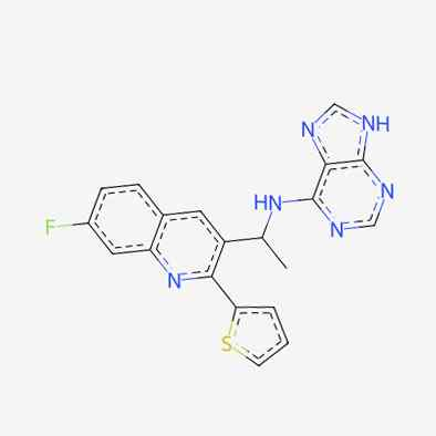 CC(Nc1ncnc2[nH]cnc12)c1cc2ccc(F)cc2nc1-c1cccs1